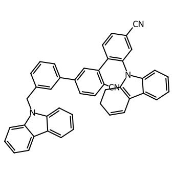 N#Cc1ccc(-c2cc(-c3cccc(Cn4c5ccccc5c5ccccc54)c3)ccc2C#N)c(-n2c3c(c4ccccc42)C=CCC3)c1